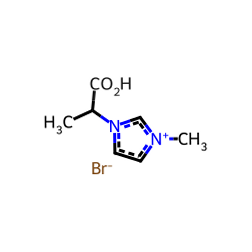 CC(C(=O)O)n1cc[n+](C)c1.[Br-]